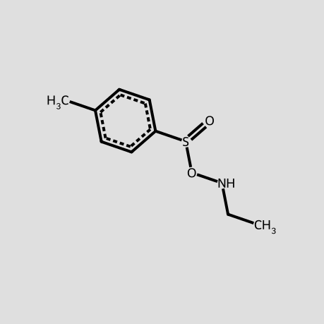 CCNOS(=O)c1ccc(C)cc1